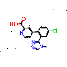 Cn1cnnc1-c1cc(Cl)ccc1-c1ccnc(C(=O)O)c1